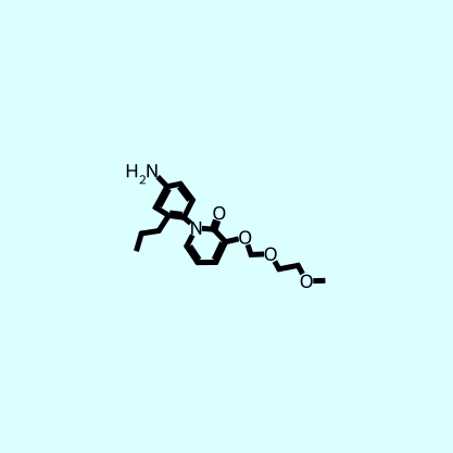 CCCc1cc(N)ccc1-n1cccc(OCOCCOC)c1=O